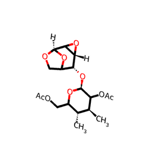 CC(=O)OCC1O[C@@H](O[C@@H]2C3CO[C@H](O3)C3O[C@@H]32)C(OC(C)=O)[C@@H](C)[C@@H]1C